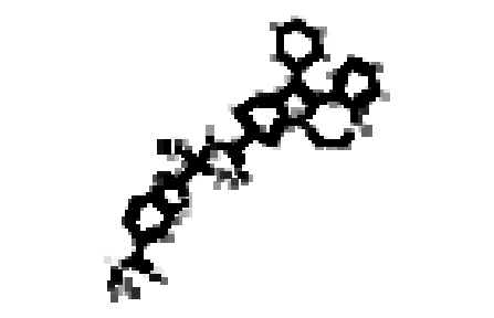 COC(=O)c1ccc2nc(C(C)(C)NC(=O)c3ccc4c(C5CCCCC5)c5n(c4c3)CCOc3ccccc3-5)[nH]c2c1